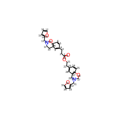 O=C(CCc1ccc2c(c1)CCN(Cc1ccco1)O2)OCCc1ccc2c(c1)CN(Cc1ccco1)CO2